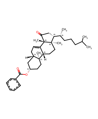 CC(C)CCC[C@@H](C)[C@H]1CC(=O)[C@@]2(C)C3=CC[C@H]4C[C@@H](OC(=O)c5ccccc5)CC[C@]4(C)[C@H]3CC[C@]12C